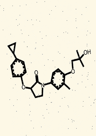 Cc1cc(N2CCC(Oc3ccc(C4CC4)cc3)C2=O)ccc1OCC(C)(C)O